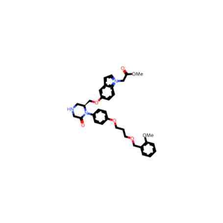 COC(=O)Cn1ccc2cc(OC[C@@H]3CNCC(=O)N3c3ccc(OCCCOCc4ccccc4OC)cc3)ccc21